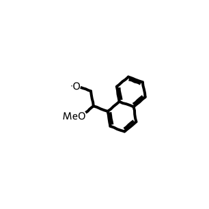 COC(C[O])c1cccc2ccccc12